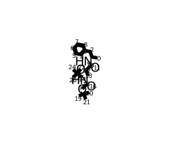 CC(Cc1ccccc1)NC(=O)C(CNC(=O)OC(C)(C)C)OC(C)(C)C